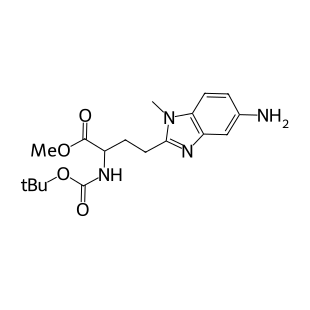 COC(=O)C(CCc1nc2cc(N)ccc2n1C)NC(=O)OC(C)(C)C